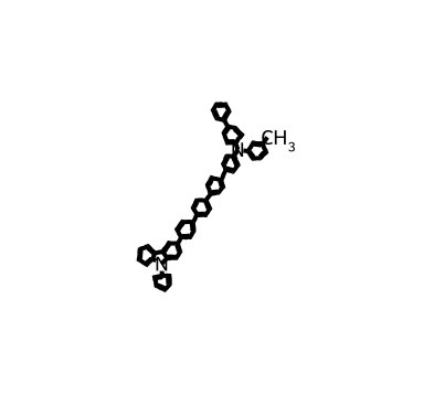 Cc1cccc(N(c2ccc(-c3ccccc3)cc2)c2ccc(-c3ccc(-c4ccc(-c5ccc(-c6ccc7c(c6)c6ccccc6n7-c6ccccc6)cc5)cc4)cc3)cc2)c1